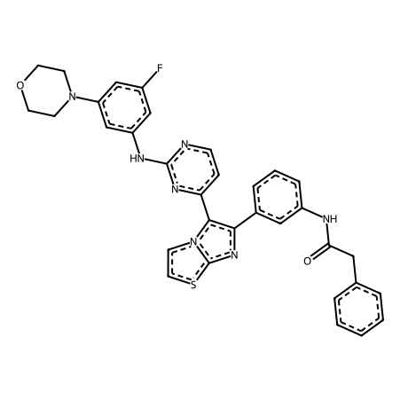 O=C(Cc1ccccc1)Nc1cccc(-c2nc3sccn3c2-c2ccnc(Nc3cc(F)cc(N4CCOCC4)c3)n2)c1